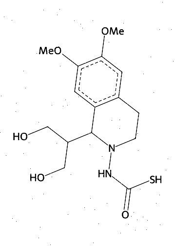 COc1cc2c(cc1OC)C(C(CO)CO)N(NC(=O)S)CC2